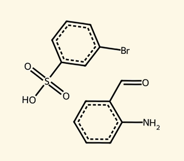 Nc1ccccc1C=O.O=S(=O)(O)c1cccc(Br)c1